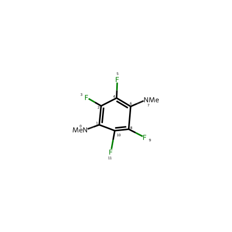 CNc1c(F)c(F)c(NC)c(F)c1F